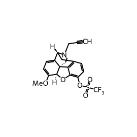 C#CCN1CC[C@@]23C4=CC=C(OC)[C@@H]2Oc2c(OS(=O)(=O)C(F)(F)F)ccc(c23)C[C@H]41